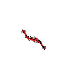 C=CC(=O)OCCCCCCOc1ccc(C(=O)Oc2ccc(C3CCC(CCC)C(c4cc(OC(=O)c5ccc(OCCCCCCOC(=O)C=C)cc5)ccc4OC)C3)cc2)cc1